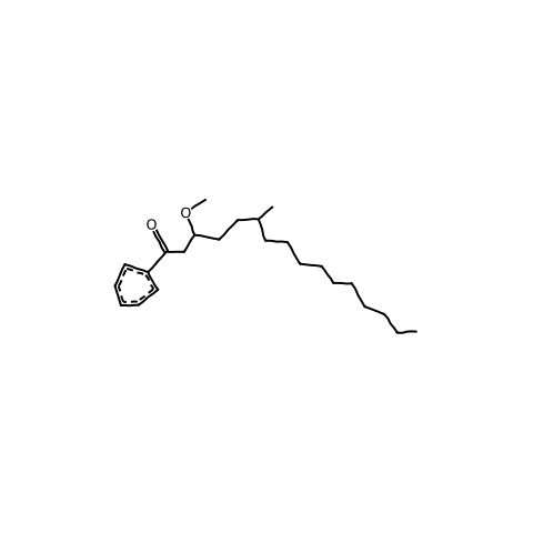 CCCCCCCCCCC(C)CCC(CC(=O)c1ccccc1)OC